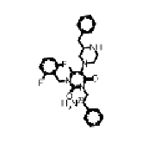 Cc1c(N2CCNC(Cc3ccccc3)C2)c(=O)n(C[C@@H](N)c2ccccc2)c(=O)n1Cc1c(F)cccc1F